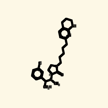 CN(C(C(=O)O)c1cccc(Cl)c1)[C@H]1CCN(CCCCCc2ccc3c(n2)NCCC3)C1=O